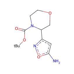 CC(C)(C)OC(=O)N1CCOCC1c1cc(N)on1